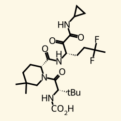 CC(F)(F)CC[C@H](NC(=O)[C@H]1CCC(C)(C)CN1C(=O)[C@@H](NC(=O)O)C(C)(C)C)C(=O)C(=O)NC1CC1